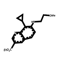 CCOC(=O)c1cnc2c(C3CC3)c(NCCOC)ccc2c1